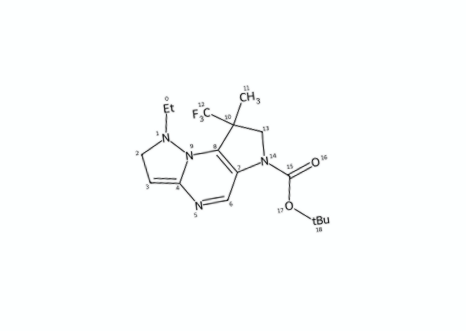 CCN1CC=C2N=CC3=C(N21)C(C)(C(F)(F)F)CN3C(=O)OC(C)(C)C